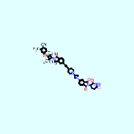 CC1(C)[C@H](Oc2ccc(C#N)c(C(F)(F)F)c2)C(C)(C)[C@H]1N1Cc2cc(C#CC3CCN(C4CN(c5ccc6c(c5)C(=O)N(C5CCC(=O)NC5=O)C6=O)C4)CC3)ccc2C1=O